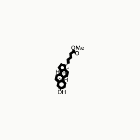 COC(=O)CCC=C[C@H]1CC[C@H]2[C@@H]3CC=C4C[C@@H](O)CC[C@]4(C)[C@H]3CC[C@]12C